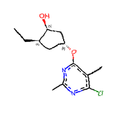 CC[C@@H]1C[C@@H](Oc2nc(C)nc(Cl)c2C)C[C@@H]1O